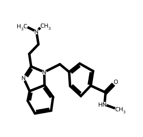 CNC(=O)c1ccc(Cn2c(CCN(C)C)nc3ccccc32)cc1